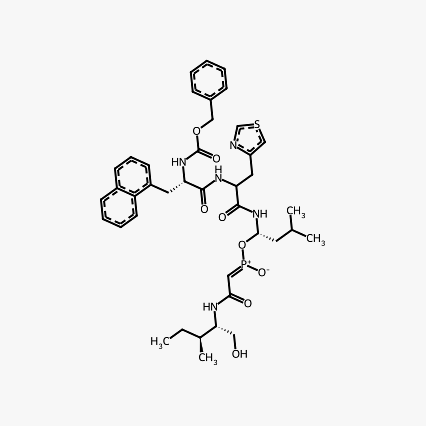 CC[C@H](C)[C@@H](CO)NC(=O)/C=[P+](\[O-])O[C@@H](CC(C)C)NC(=O)C(Cc1cscn1)NC(=O)[C@H](Cc1cccc2ccccc12)NC(=O)OCc1ccccc1